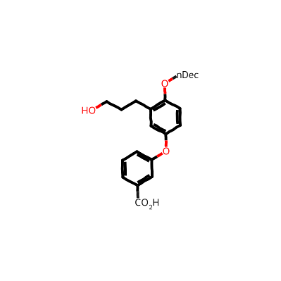 CCCCCCCCCCOc1ccc(Oc2cccc(C(=O)O)c2)cc1CCCO